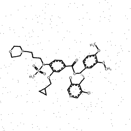 COc1ccc([C@H](Cc2c(Cl)cncc2Cl)OC(=O)c2ccc(N(CCCN3CCOCC3)S(C)(=O)=O)c(OCC3CC3)c2)cc1OC